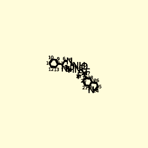 O=C(NNc1ncc(-c2ccccc2)nn1)C(F)(F)c1ccc2ncccc2c1